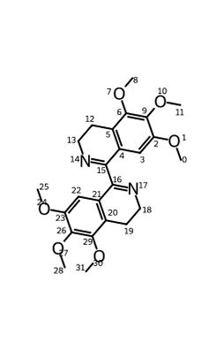 COc1cc2c(c(OC)c1OC)CCN=C2C1=NCCc2c1cc(OC)c(OC)c2OC